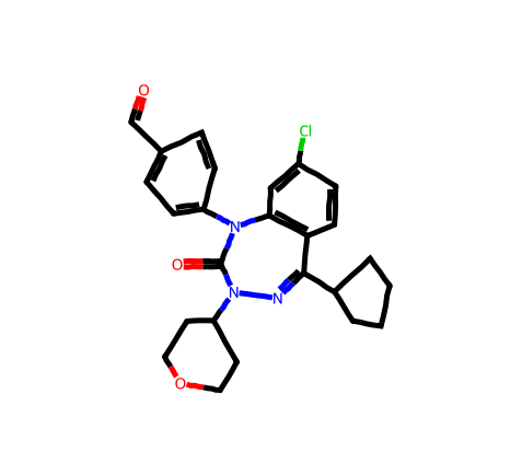 O=Cc1ccc(N2C(=O)N(C3CCOCC3)N=C(C3CCCC3)c3ccc(Cl)cc32)cc1